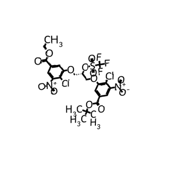 CCOC(=O)c1cc(OC[C@@H](COc2cc(C(=O)OC(C)(C)C)cc([N+](=O)[O-])c2Cl)OS(=O)(=O)C(F)(F)F)c(Cl)c([N+](=O)[O-])c1